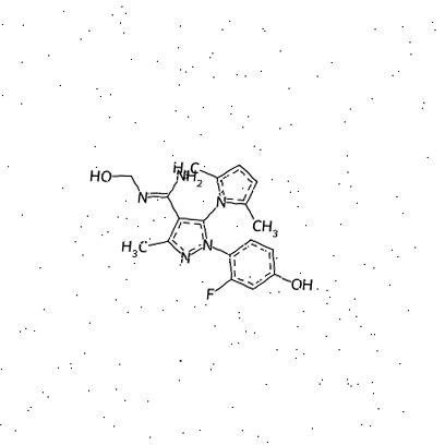 Cc1nn(-c2ccc(O)cc2F)c(-n2c(C)ccc2C)c1/C(N)=N/CO